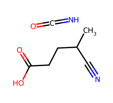 CC(C#N)CCC(=O)O.N=C=O